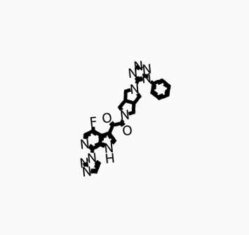 O=C(C(=O)N1CC2CN(c3nnnn3-c3ccccc3)CC2C1)c1c[nH]c2c(-n3ccnn3)ncc(F)c12